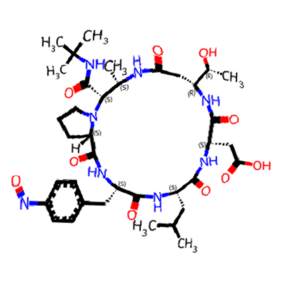 CC(C)C[C@@H]1NC(=O)[C@H](Cc2ccc(N=O)cc2)NC(=O)[C@@H]2CCCN2[C@H](C(=O)NC(C)(C)C)[C@H](C)NC(=O)C[C@H]([C@@H](C)O)NC(=O)[C@H](CC(=O)O)NC1=O